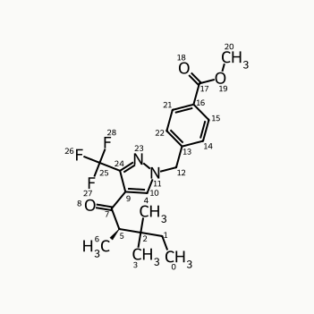 CCC(C)(C)[C@@H](C)C(=O)c1cn(Cc2ccc(C(=O)OC)cc2)nc1C(F)(F)F